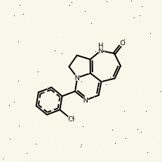 O=C1C=CC2=CN=C(c3ccccc3Cl)N3CCC(=C23)N1